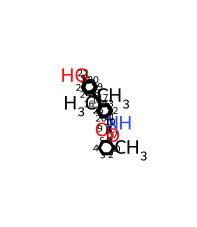 CC1CCCCC1OC(=O)Nc1ccc(C(C)(C)c2ccc(O)cc2)cc1